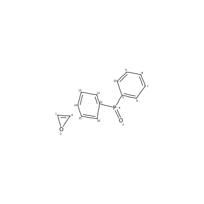 C1=CO1.O=[P](c1ccccc1)c1ccccc1